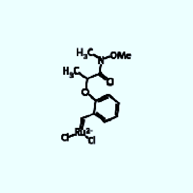 CON(C)C(=O)C(C)Oc1ccccc1[CH]=[Ru-2]([Cl])[Cl]